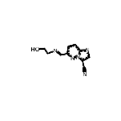 N#Cc1cnc2ccc(/C=N/CCO)nn12